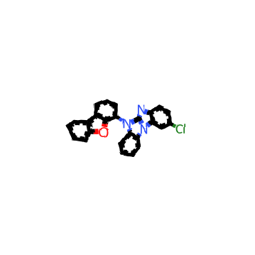 Clc1ccc2nc3n(-c4cccc5c4oc4ccccc45)c4ccccc4n3c2c1